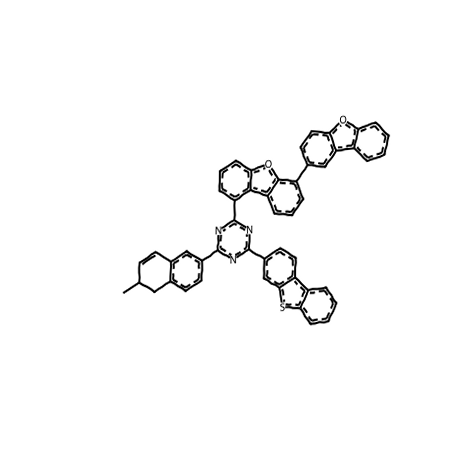 CC1C=Cc2cc(-c3nc(-c4ccc5c(c4)sc4ccccc45)nc(-c4cccc5oc6c(-c7ccc8oc9ccccc9c8c7)cccc6c45)n3)ccc2C1